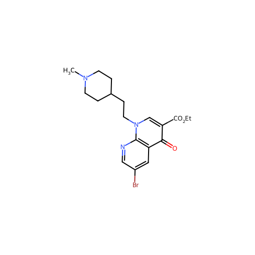 CCOC(=O)c1cn(CCC2CCN(C)CC2)c2ncc(Br)cc2c1=O